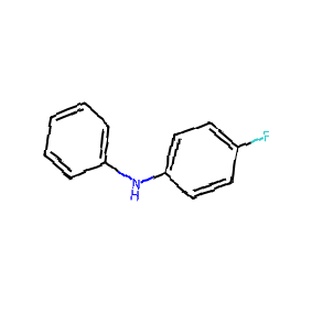 Fc1ccc(Nc2ccccc2)cc1